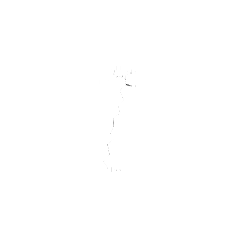 CCCCCCCCCCCCCCCCCCCCCC(=O)N(CCC)N(C)C